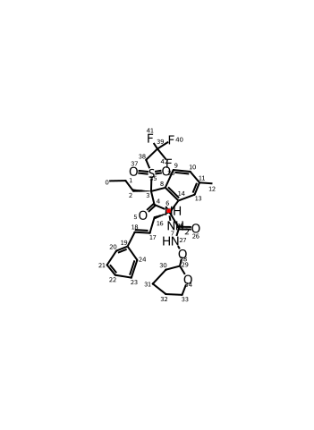 CCC[C@](C(=O)NN)(c1ccc(C)cc1[C@H](C/C=C/c1ccccc1)C(=O)NOC1CCCCO1)S(=O)(=O)CC(F)(F)F